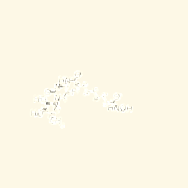 C[C@H]1O[C@@H](n2cc(F)c(NC(=O)SCCCCCCC(=O)NO)nc2=O)[C@H](O)[C@@H]1O